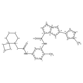 Cc1ncc(NC(=O)CN2CCCCC23COC3)cc1NC(=O)c1cnn2cc(-c3cnn(C)c3)sc12